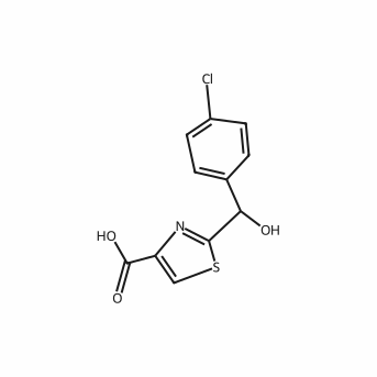 O=C(O)c1csc(C(O)c2ccc(Cl)cc2)n1